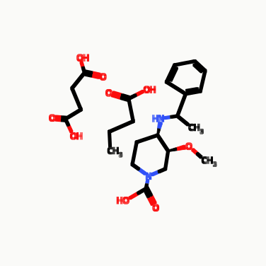 CCCC(=O)O.CO[C@H]1CN(C(=O)O)CC[C@H]1NC(C)c1ccccc1.O=C(O)CCC(=O)O